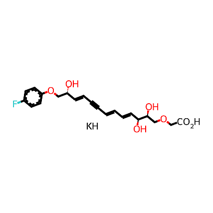 O=C(O)COC[C@H](O)[C@@H](O)/C=C/C=C/C#C/C=C/[C@@H](O)COc1ccc(F)cc1.[KH]